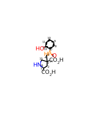 O=C(O)C1CC(C[PH](=O)c2ccccc2O)(C(=O)O)CN1